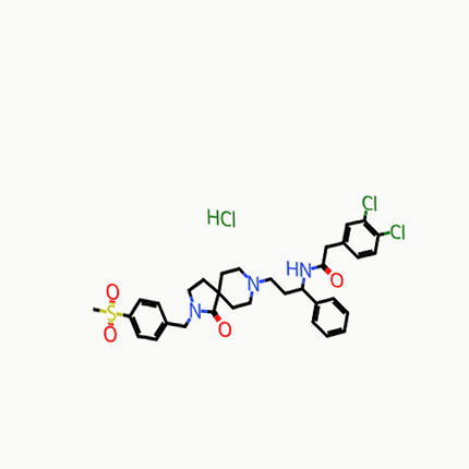 CS(=O)(=O)c1ccc(CN2CCC3(CCN(CCC(NC(=O)Cc4ccc(Cl)c(Cl)c4)c4ccccc4)CC3)C2=O)cc1.Cl